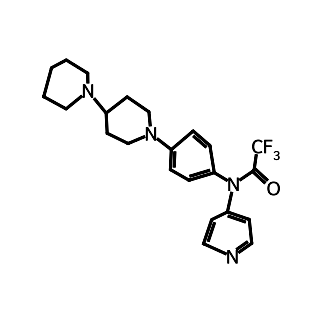 O=C(N(c1ccncc1)c1ccc(N2CCC(N3CCCCC3)CC2)cc1)C(F)(F)F